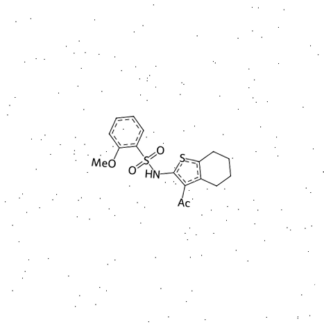 COc1ccccc1S(=O)(=O)Nc1sc2c(c1C(C)=O)CCCC2